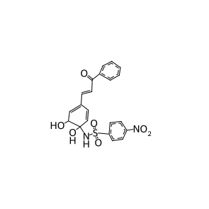 O=C(C=CC1=CC(O)C(O)(NS(=O)(=O)c2ccc([N+](=O)[O-])cc2)C=C1)c1ccccc1